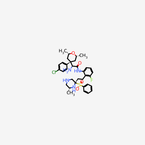 C[C@@H]1CNC[C@](CCc2c(F)cccc2NC(=O)[C@@H](N)[C@@]2(c3ccc(Cl)cc3)C[C@@H](C)O[C@@H](C)C2)(S(=O)(=O)c2ccccc2)N1